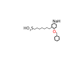 O=S(=O)(O)CCCCCCCc1ccccc1OCc1ccccc1.[NaH]